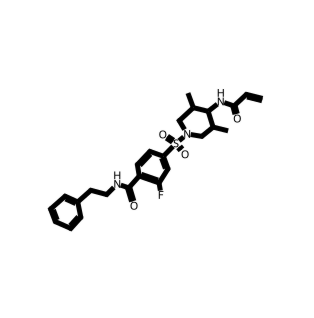 C=CC(=O)NC1C(C)CN(S(=O)(=O)c2ccc(C(=O)NCCc3ccccc3)c(F)c2)CC1C